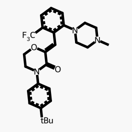 CN1CCN(c2cccc(C(F)(F)F)c2C=C2OCCN(c3ccc(C(C)(C)C)cc3)C2=O)CC1